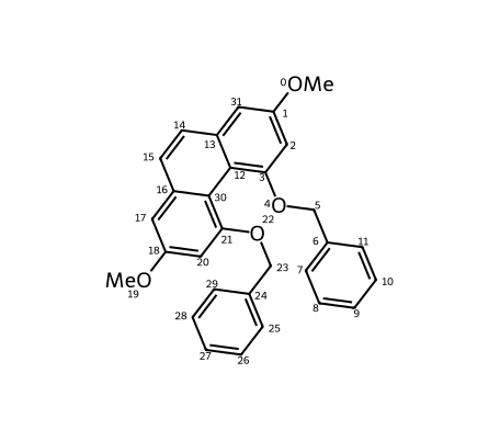 COc1cc(OCc2ccccc2)c2c(ccc3cc(OC)cc(OCc4ccccc4)c32)c1